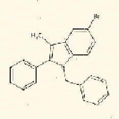 Cc1c(-c2ccccc2)n(Cc2ccccc2)c2ccc(Br)cc12